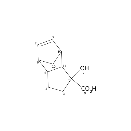 O=C(O)C1(O)CCC2C3C=CC(C3)C21